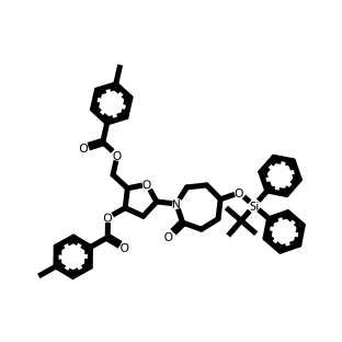 Cc1ccc(C(=O)OCC2OC(N3CCC(O[Si](c4ccccc4)(c4ccccc4)C(C)(C)C)CCC3=O)CC2OC(=O)c2ccc(C)cc2)cc1